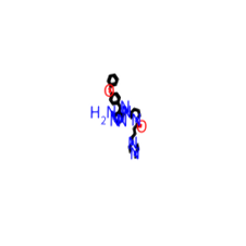 CN1CCN(CCCC(=O)N2CCCC(n3nc(-c4ccc(Oc5ccccc5)cc4)c4c(N)ncnc43)C2)CC1